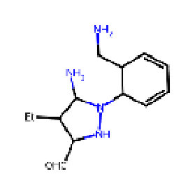 CCC1C(C=O)NN(C2C=CC=CC2CN)C1N